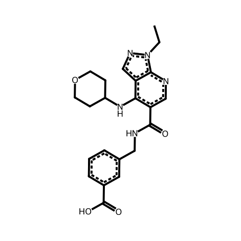 CCn1ncc2c(NC3CCOCC3)c(C(=O)NCc3cccc(C(=O)O)c3)cnc21